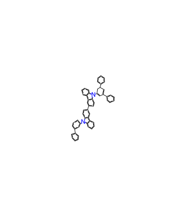 C1=C(c2ccccc2)C=C(n2c3ccccc3c3cc(-c4ccc5c(c4)c4ccccc4n5-c4cccc(-c5ccccc5)c4)ccc32)CC1c1ccccc1